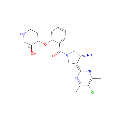 CC1=N/C(=C2\CN(C(=O)c3ccccc3OC3CCNC[C@@H]3O)CC2=N)NC(C)=C1Cl